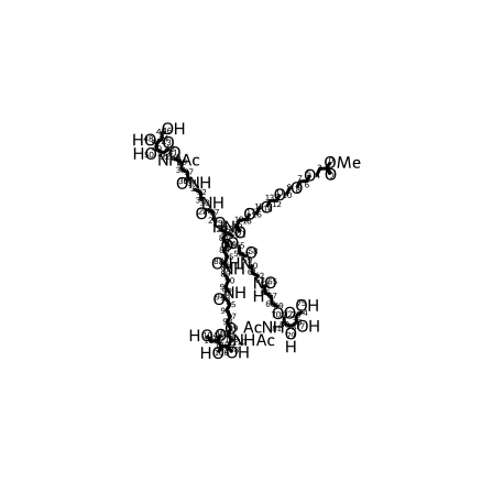 COC(=O)CCOCCOCCOCCOCCOCCC(=O)NC(COCCC(=O)NCCCNC(=O)CCCCOC1OC(CO)C(O)C(O)C1NC(C)=O)(COCCC(=O)NCCCNC(=O)CCCCOC1OC(CO)C(O)C(O)C1NC(C)=O)COCCC(=O)NCCCNC(=O)CCCCOC1OC(CO)C(O)C(O)C1NC(C)=O